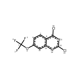 FC(F)(F)Oc1ccc2c(Cl)nc(Cl)nc2c1